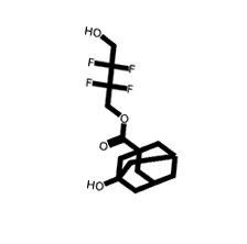 O=C(OCC(F)(F)C(F)(F)CO)C12CC3CC(CC(O)(C3)C1)C2